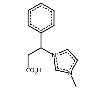 Cn1cc[n+](C(CC(=O)O)c2ccccc2)c1